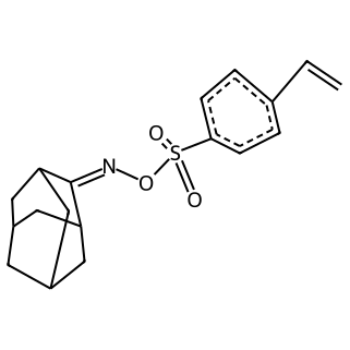 C=Cc1ccc(S(=O)(=O)ON=C2C3CC4CC(C3)CC2C4)cc1